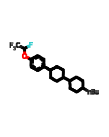 CCCCC1CCC(C2CCC(c3ccc(OC(F)C(F)(F)F)cc3)CC2)CC1